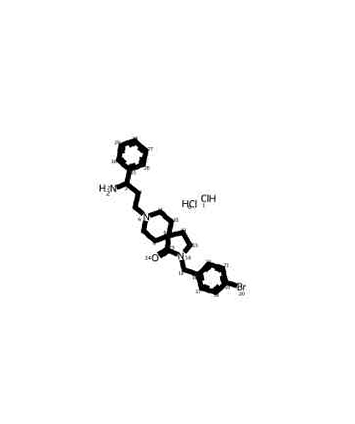 Cl.Cl.NC(CCN1CCC2(CC1)CCN(Cc1ccc(Br)cc1)C2=O)c1ccccc1